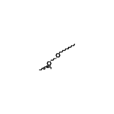 CCCCC=CCCCCC[C@H]1CC[C@H](CCCC[C@H]2CC[C@H]([SiH2]COCCC)CC2)CC1